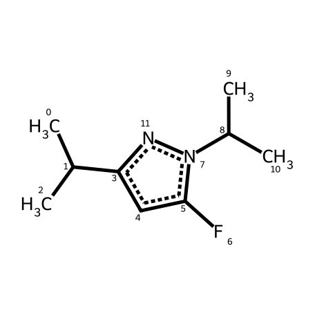 CC(C)c1cc(F)n(C(C)C)n1